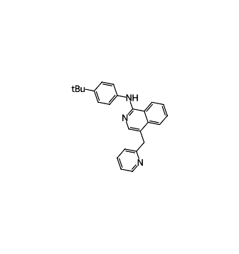 CC(C)(C)c1ccc(Nc2ncc(Cc3ccccn3)c3ccccc23)cc1